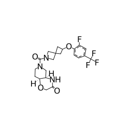 O=C1CO[C@H]2CCN(C(=O)N3CC4(CC(Oc5ccc(C(F)(F)F)cc5F)C4)C3)C[C@H]2N1